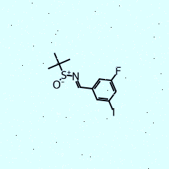 CC(C)(C)[S+]([O-])N=Cc1cc(F)cc(I)c1